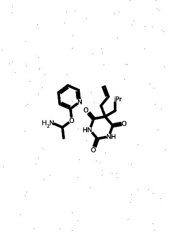 C=CCC1(CC(C)C)C(=O)NC(=O)NC1=O.CC(N)Oc1ccccn1